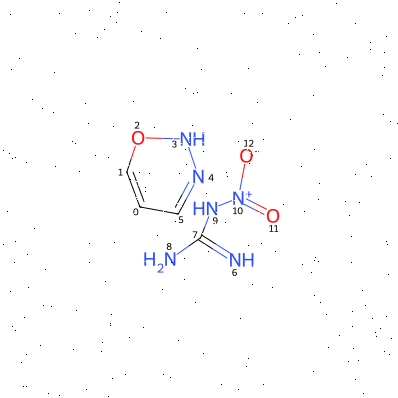 C1=CONN=C1.N=C(N)N[N+](=O)[O-]